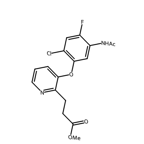 COC(=O)CCc1ncccc1Oc1cc(NC(C)=O)c(F)cc1Cl